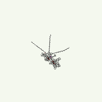 CCCCCCCCCCCCCCCCCCOc1cc(CC(CC(=O)O)(C(=O)O[C@@H]2[C@@H](COC(c3ccccc3)(c3ccc(OC)cc3)c3ccc(OC)cc3)O[C@@H](n3ccc(=O)[nH]c3=O)[C@@]2(O)F)[C@@]2(/P=[O+]/CCC#N)C[C@H](n3cc(C)c(=O)[nH]c3=O)O[C@@H]2CO)cc(OCCCCCCCCCCCCCCCCCC)c1OCCCCCCCCCCCCCCCCCC